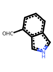 O=Cc1cccc2c[nH]cc12